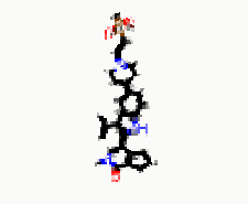 CC(C)c1c(-c2cn(C)c(=O)c3c2CCC3)[nH]c2ccc(C3CCN(CCS(C)(=O)=O)CC3)cc12